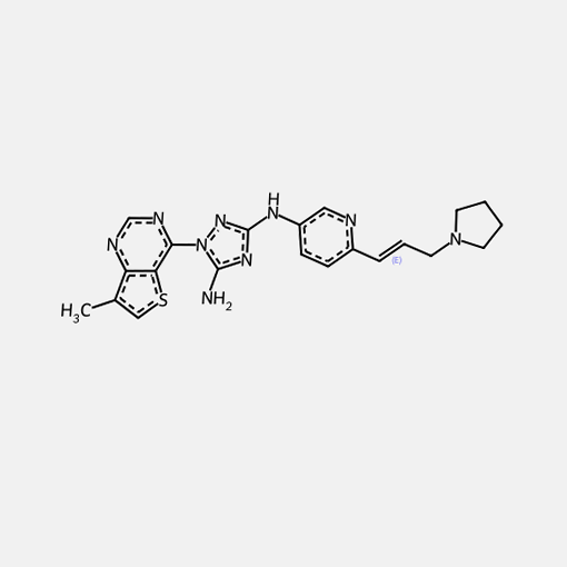 Cc1csc2c(-n3nc(Nc4ccc(/C=C/CN5CCCC5)nc4)nc3N)ncnc12